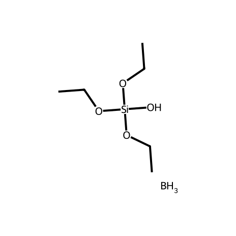 B.CCO[Si](O)(OCC)OCC